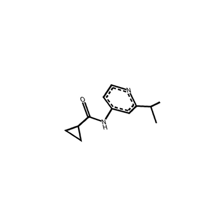 CC(C)c1cc(NC(=O)C2CC2)ccn1